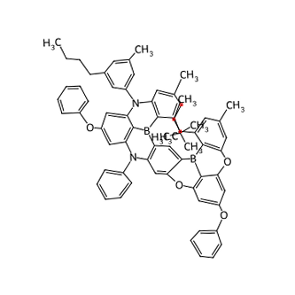 CCCCc1cc(C)cc(N2c3cc(Oc4ccccc4)cc4c3B(c3cc5c(cc3N4c3ccccc3)Oc3cc(Oc4ccccc4)cc4c3B5c3c(cc(C)cc3[C@@H](C)CCC)O4)c3c2cc(C)cc3C(C)(C)C)c1